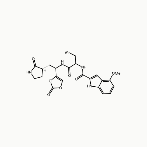 COc1cccc2[nH]c(C(=O)NC(CC(C)C)C(=O)NC(C[C@@H]3CCNC3=O)c3coc(=O)o3)cc12